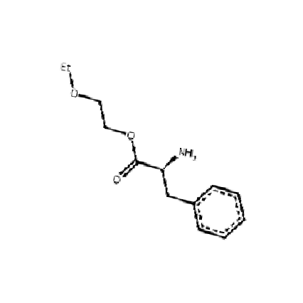 CCOCCOC(=O)[C@@H](N)Cc1ccccc1